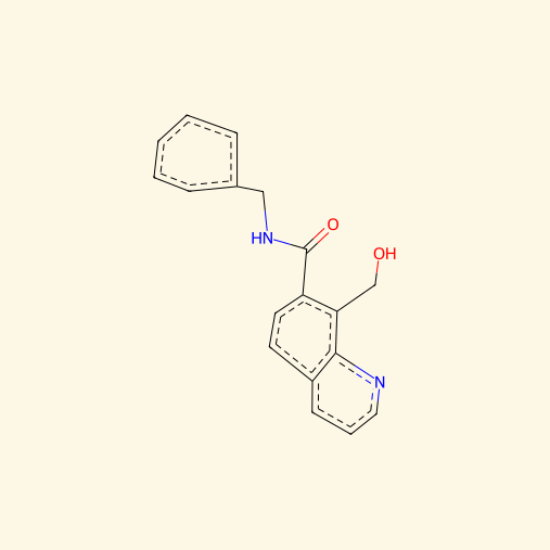 O=C(NCc1ccccc1)c1ccc2cccnc2c1CO